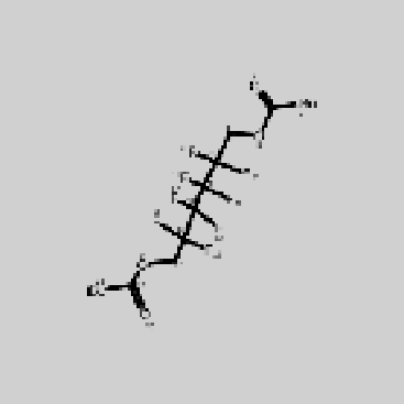 CCC(C)C(=O)OCC(F)(F)C(F)(F)C(F)(F)C(F)(F)COC(=O)C(C)CC